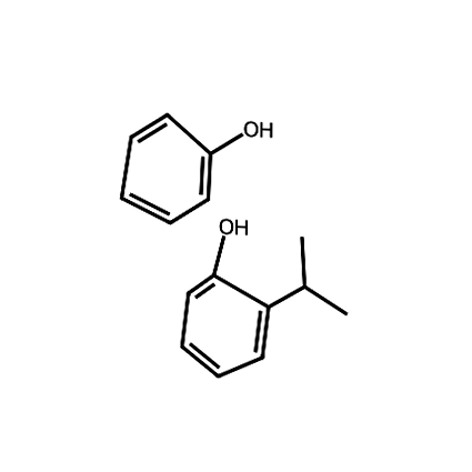 CC(C)c1ccccc1O.Oc1ccccc1